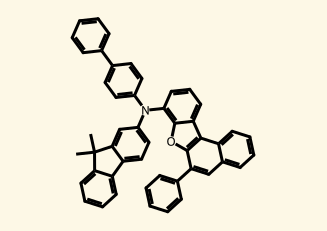 CC1(C)c2ccccc2-c2ccc(N(c3ccc(-c4ccccc4)cc3)c3cccc4c3oc3c(-c5ccccc5)cc5ccccc5c34)cc21